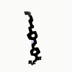 CNc1ccc(/C=C/c2ccc(COCC[18F])cc2)cc1